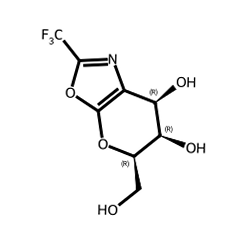 OC[C@H]1Oc2oc(C(F)(F)F)nc2[C@@H](O)[C@H]1O